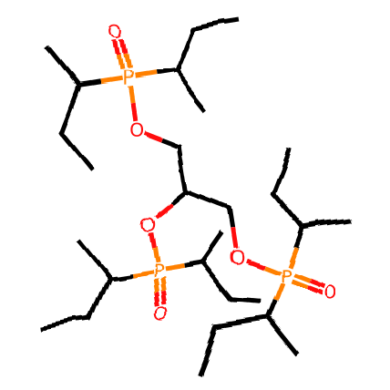 CCC(C)P(=O)(OCC(COP(=O)(C(C)CC)C(C)CC)OP(=O)(C(C)CC)C(C)CC)C(C)CC